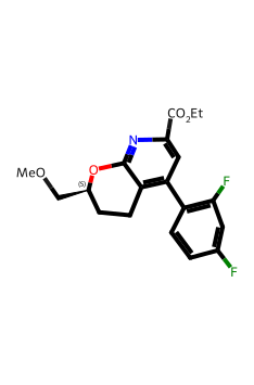 CCOC(=O)c1cc(-c2ccc(F)cc2F)c2c(n1)O[C@H](COC)CC2